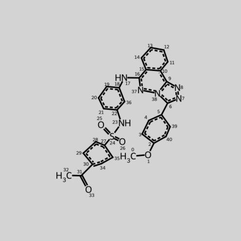 COc1ccc(-c2nnc3c4ccccc4c(Nc4cccc(NS(=O)(=O)c5ccc(C(C)=O)cc5)c4)nn23)cc1